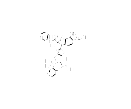 CCC1CN(Cc2nc(C(c3ccc4c(nnn4CC)c3C)C(C)(C)C(=O)Nc3cccnc3)sc2C)S(O)(O)c2cnccc2O1